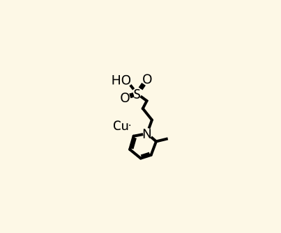 CC1C=CC=CN1CCCS(=O)(=O)O.[Cu]